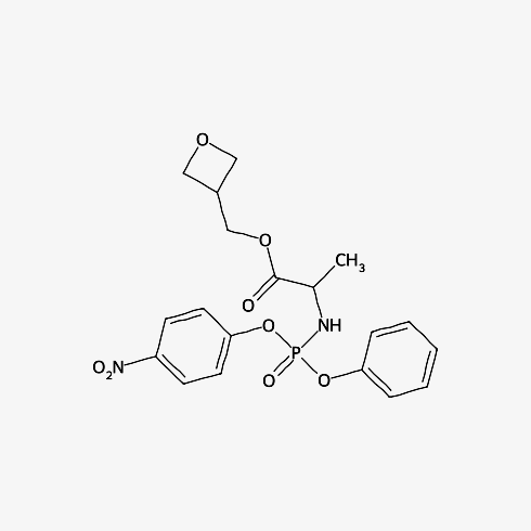 CC(NP(=O)(Oc1ccccc1)Oc1ccc([N+](=O)[O-])cc1)C(=O)OCC1COC1